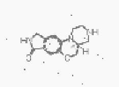 O=C1NCc2cc3c(cc21)OC[C@@H]1CNCCN31